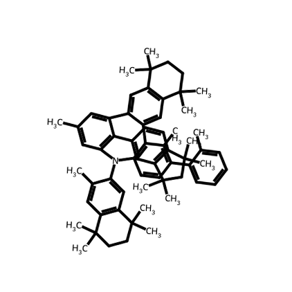 Cc1cc2c(-c3ccc4c(c3)C(C)(C)CC4(C)C)c(c1)N(c1cc3c(cc1C)C(C)(C)CCC3(C)C)c1ccc(-c3ccccc3C)c(C)c1-c1cc3c(cc1-2)C(C)(C)CCC3(C)C